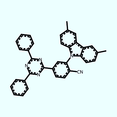 Cc1ccc2c(c1)c1cc(C)ccc1n2-c1cc(-c2nc(-c3ccccc3)nc(-c3ccccc3)n2)ccc1C#N